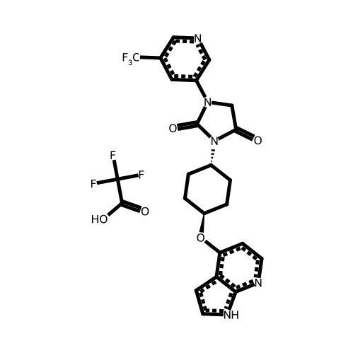 O=C(O)C(F)(F)F.O=C1CN(c2cncc(C(F)(F)F)c2)C(=O)N1[C@H]1CC[C@H](Oc2ccnc3[nH]ccc23)CC1